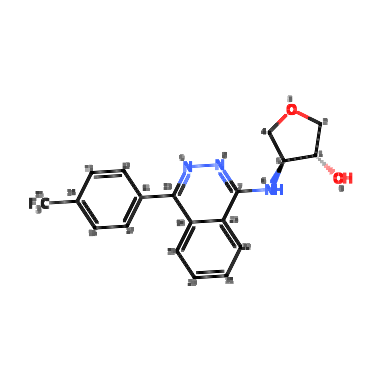 O[C@H]1COC[C@@H]1Nc1nnc(-c2ccc(C(F)(F)F)cc2)c2ccccc12